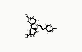 Cc1ccc(/C=C/n2c3c(c4cc(Cl)ccc42)CN(C)CC3)cn1